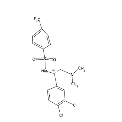 CN(C)C[C@@H](NS(=O)(=O)c1ccc(C(F)(F)F)cc1)c1ccc(Cl)c(Cl)c1